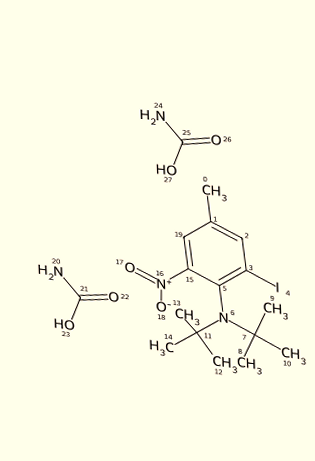 Cc1cc(I)c(N(C(C)(C)C)C(C)(C)C)c([N+](=O)[O-])c1.NC(=O)O.NC(=O)O